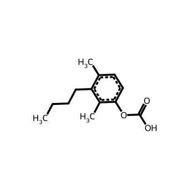 CCCCc1c(C)ccc(OC(=O)O)c1C